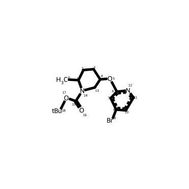 CC1CCC(Oc2cc(Br)ccn2)CN1C(=O)OC(C)(C)C